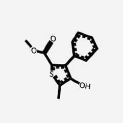 COC(=O)c1sc(C)c(O)c1-c1ccccc1